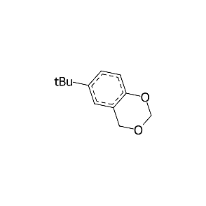 CC(C)(C)c1ccc2c(c1)COCO2